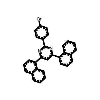 Brc1ccc(-c2nc(-c3cccc4ccccc34)cc(-c3cccc4ccccc34)n2)cc1